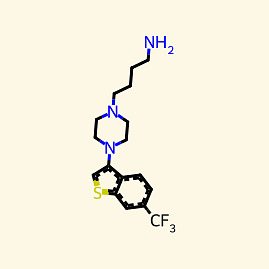 NCCCCN1CCN(c2csc3cc(C(F)(F)F)ccc23)CC1